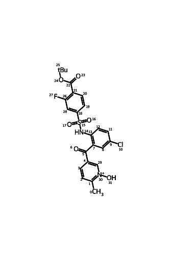 Cc1ccc(C(=O)c2cc(Cl)ccc2NS(=O)(=O)c2ccc(C(=O)OC(C)(C)C)c(F)c2)c[n+]1O